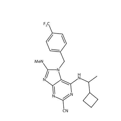 CNc1nc2nc(C#N)nc(NC(C)C3CCC3)c2n1Cc1ccc(C(F)(F)F)cc1